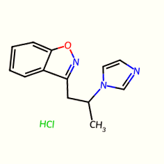 CC(Cc1noc2ccccc12)n1ccnc1.Cl